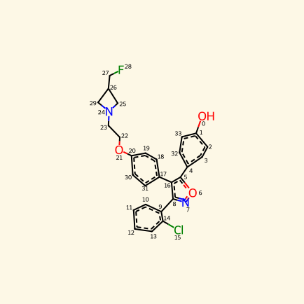 Oc1ccc(-c2onc(-c3ccccc3Cl)c2-c2ccc(OCCN3CC(CF)C3)cc2)cc1